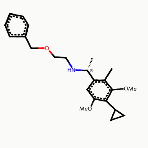 COc1cc([C@@H](C)NCCOCc2ccccc2)c(C)c(OC)c1C1CC1